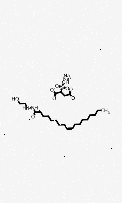 CCCCCCCC/C=C\CCCCCCCC(=O)NNCCO.O=C([O-])CC(C(=O)[O-])S(=O)(=O)O.[Na+].[Na+]